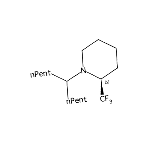 CCCCCC(CCCCC)N1CCCC[C@H]1C(F)(F)F